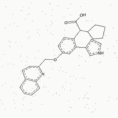 O=C(O)C(c1ccc(OCc2ccc3ccccc3n2)cc1-c1cc[nH]c1)C1CCCC1